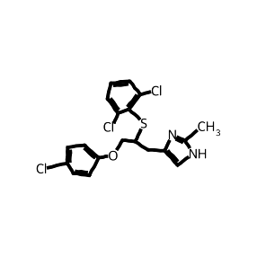 Cc1nc(CC(COc2ccc(Cl)cc2)Sc2c(Cl)cccc2Cl)c[nH]1